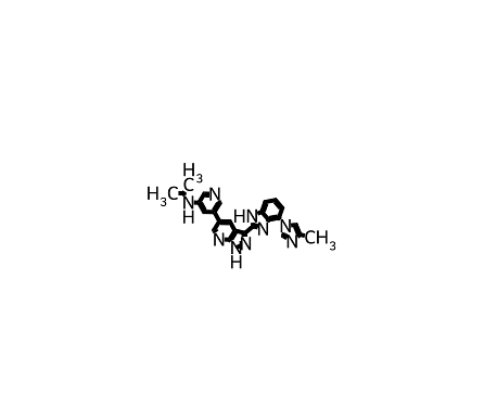 Cc1cn(-c2cccc3[nH]c(-c4n[nH]c5ncc(-c6cncc(NC(C)C)c6)cc45)nc23)cn1